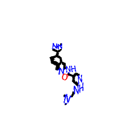 CN(C)CCNc1cc(C(=O)Nc2cc3cc(-c4cnn(C)c4)ccc3cn2)ccn1